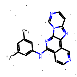 Cc1cc(C)cc(Nc2nc3c(nc4ccncn43)c3cnccc23)c1